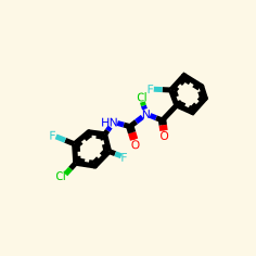 O=C(Nc1cc(F)c(Cl)cc1F)N(Cl)C(=O)c1ccccc1F